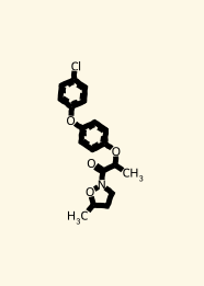 CC1CCN(C(=O)C(C)Oc2ccc(Oc3ccc(Cl)cc3)cc2)O1